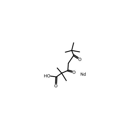 CC(C)(C)C(=O)CC(=O)C(C)(C)C(=O)O.[Nd]